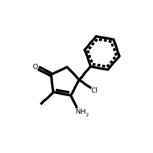 CC1=C(N)C(Cl)(c2ccccc2)CC1=O